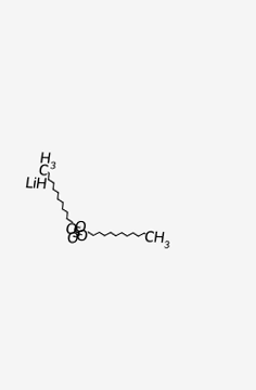 CCCCCCCCCCCCOS(=O)(=O)OCCCCCCCCCCCC.[LiH]